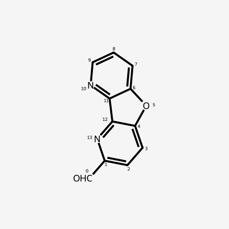 O=Cc1ccc2oc3cccnc3c2n1